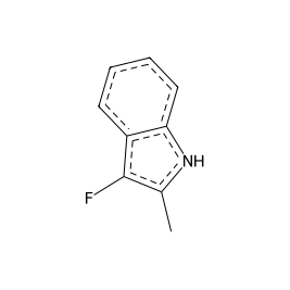 Cc1[nH]c2ccccc2c1F